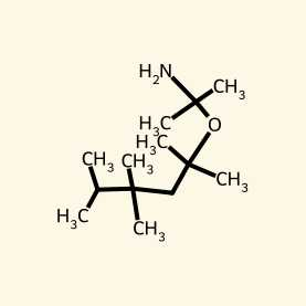 CC(C)C(C)(C)CC(C)(C)OC(C)(C)N